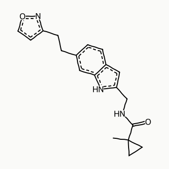 CC1(C(=O)NCc2cc3ccc(CCc4ccon4)cc3[nH]2)CC1